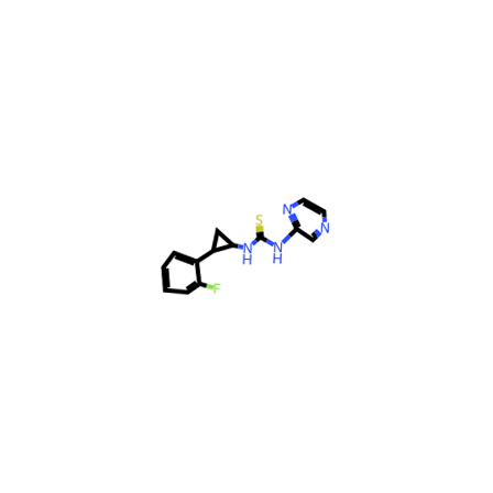 Fc1ccccc1C1CC1NC(=S)Nc1cnccn1